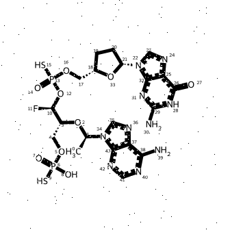 C[C@@H](O[C@H](COP(=O)(O)S)[C@@H](F)OP(=O)(S)OC[C@@H]1CC[C@H](n2cnc3c(=O)[nH]c(N)nc32)O1)n1cnc2c(N)ncnc21